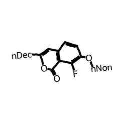 CCCCCCCCCCc1cc2ccc(OCCCCCCCCC)c(F)c2c(=O)o1